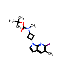 Cc1cc2ccn([C@H]3C[C@H](N(C)C(=O)OC(C)(C)C)C3)c2nc1I